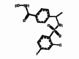 CC(NS(=O)(=O)c1ccc(F)cc1Cl)c1ccc(C(=O)NO)cc1